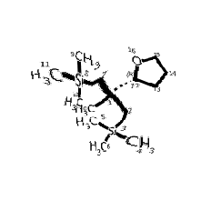 CC(C[Si](C)(C)C)(C[Si](C)(C)C)[C@H]1CCCO1